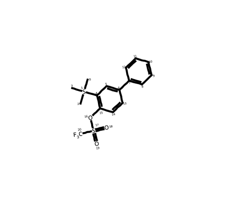 CS(C)(C)c1cc(-c2ccccc2)ccc1OS(=O)(=O)C(F)(F)F